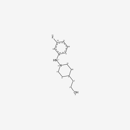 OCCC1CCN(Nc2cccc(F)c2)CC1